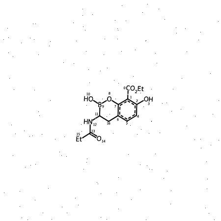 CCOC(=O)c1c(O)ccc2c1OB(O)C(NC(=O)CC)C2